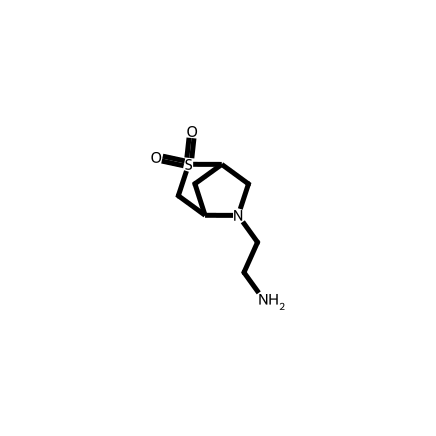 NCCN1CC2CC1CS2(=O)=O